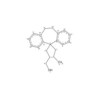 CCCC1(CCCO)c2ccccc2CCc2ccccc21